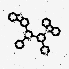 c1ccc(-c2nc(-c3cc(-c4ccncc4)cc(-n4c5ccccc5c5ccccc54)c3)cc(-c3ccc4sc5ccccc5c4c3)n2)cc1